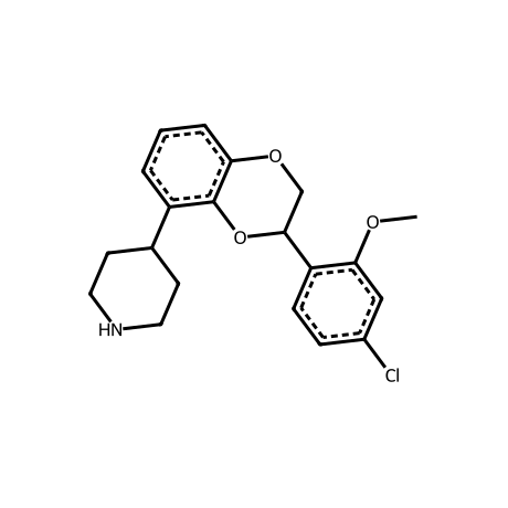 COc1cc(Cl)ccc1C1COc2cccc(C3CCNCC3)c2O1